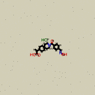 CC(C(=O)O)C1CCC2(CC1)CCN(C(=O)c1ccc(C=NO)cc1)CC2.Cl